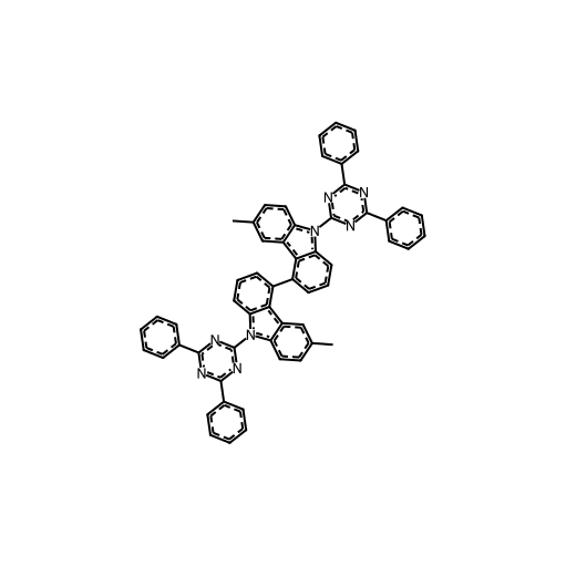 Cc1ccc2c(c1)c1c(-c3cccc4c3c3cc(C)ccc3n4-c3nc(-c4ccccc4)nc(-c4ccccc4)n3)cccc1n2-c1nc(-c2ccccc2)nc(-c2ccccc2)n1